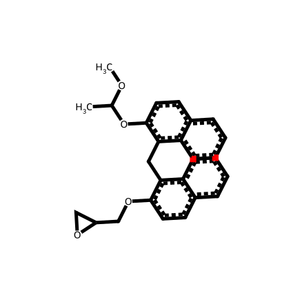 COC(C)Oc1ccc2ccccc2c1Cc1c(OCC2CO2)ccc2ccccc12